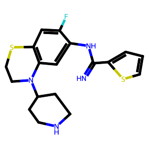 N=C(Nc1cc2c(cc1F)SCCN2C1CCNCC1)c1cccs1